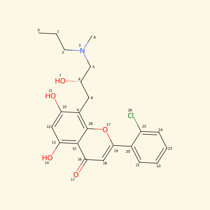 CCCN(C)C[C@@H](O)Cc1c(O)cc(O)c2c(=O)cc(-c3ccccc3Cl)oc12